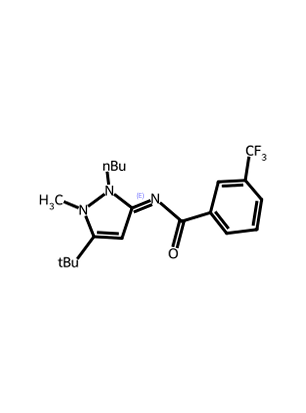 CCCCn1/c(=N/C(=O)c2cccc(C(F)(F)F)c2)cc(C(C)(C)C)n1C